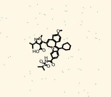 COc1ccc2c(c1)C=C(c1c(C(=O)O)c(C(C)C)nn1C)Cn1c-2c(C2CCCCC2)c2ccc(C(=O)NS(=O)(=O)C(C)C)cc21